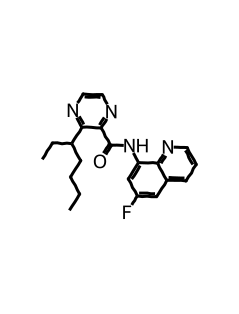 CCCCC(CC)c1nccnc1C(=O)Nc1cc(F)cc2cccnc12